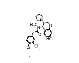 CN(C(=O)Cc1ccc(Cl)c(Cl)c1)[C@H]1c2ccccc2OC[C@@H]1N1CCCC1.Cl